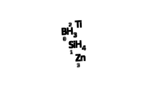 B.[SiH4].[Ti].[Zn]